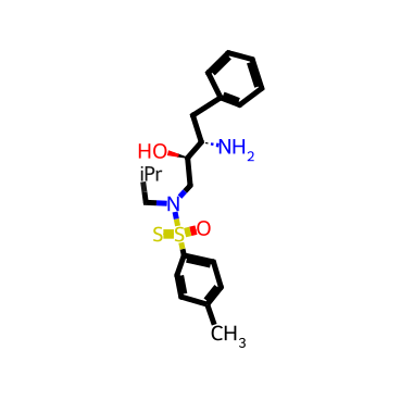 Cc1ccc(S(=O)(=S)N(CC(C)C)C[C@@H](O)[C@@H](N)Cc2ccccc2)cc1